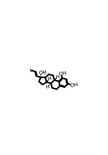 C[C@]12CC[C@@H]3c4c(O)cc(O)cc4CC[C@H]3[C@@H]1CC[C@@]2(O)/C=C/I